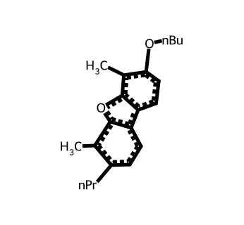 CCCCOc1ccc2c(oc3c(C)c(CCC)ccc32)c1C